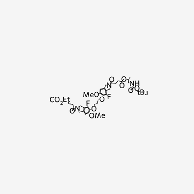 CCOC(=O)CCC(=O)N1Cc2cc(OC)c(OCCCOc3c(OC)cc4c(c3F)CN(C(=O)CCC(=O)O[C@@H](C)CNC(=O)OC(C)(C)C)C4)c(F)c2C1